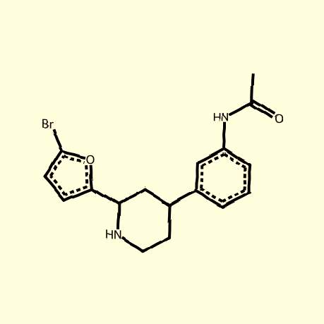 CC(=O)Nc1cccc(C2[CH]C(c3ccc(Br)o3)NCC2)c1